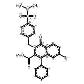 COC(=O)c1c(-c2ccccc2)c2cc(Br)ccc2c(=O)n1Cc1ccc(S(=O)(=O)N(C)C)cc1